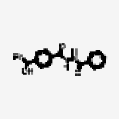 CC(C)C(O)c1ccc(C(=O)NNC(=O)c2ccccc2)cc1